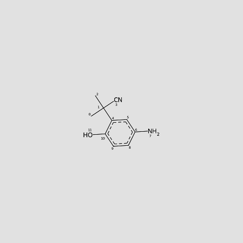 CC(C)(C#N)c1cc(N)ccc1O